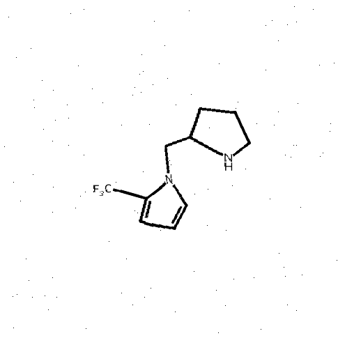 FC(F)(F)c1cccn1CC1CCCN1